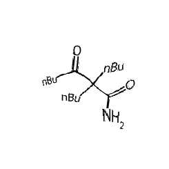 CCCCC(=O)C(CCCC)(CCCC)C(N)=O